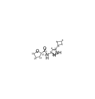 O=C(Nc1cc(C2CCC2)[nH]n1)[C@H]1CCCO1